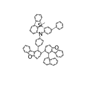 C[Si]1(C)c2ccccc2-c2cccc(N(c3ccc(-c4ccccc4)cc3)c3ccc(-c4c(-c5ccc6oc7ccccc7c6c5-c5cccc6ccccc56)ccc5oc6ccccc6c45)cc3)c21